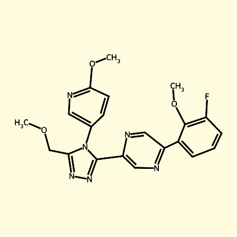 COCc1nnc(-c2cnc(-c3cccc(F)c3OC)cn2)n1-c1ccc(OC)nc1